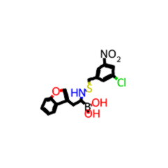 O=[N+]([O-])c1cc(Cl)cc(CSNC(Cc2coc3ccccc23)B(O)O)c1